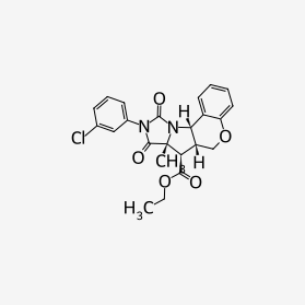 CCOC(=O)[C@@H]1[C@H]2COc3ccccc3[C@H]2N2C(=O)N(c3cccc(Cl)c3)C(=O)[C@@]12C